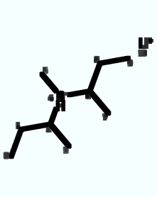 CCC(C)[BH-](C)C(C)CC.[Li+]